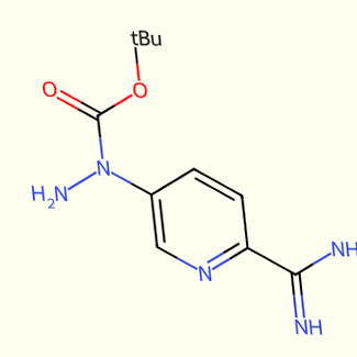 CC(C)(C)OC(=O)N(N)c1ccc(C(=N)N)nc1